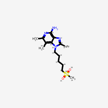 CCCc1nc2c(N)nc(C)c(C)c2n1CCCCCS(C)(=O)=O